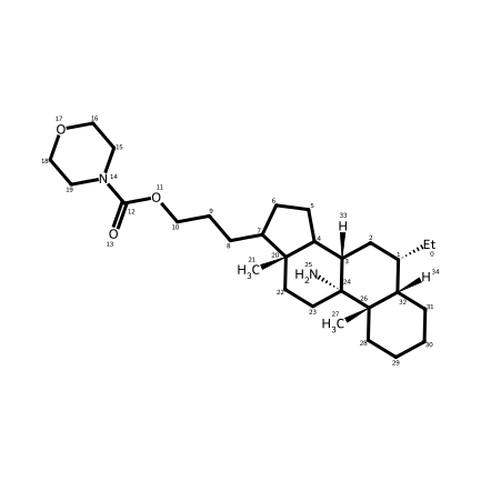 CC[C@H]1C[C@H]2C3CCC(CCCOC(=O)N4CCOCC4)[C@@]3(C)CC[C@]2(N)[C@@]2(C)CCCC[C@@H]12